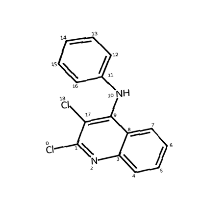 Clc1nc2ccccc2c(Nc2ccccc2)c1Cl